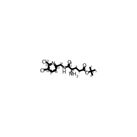 CC(C)(C)OC(=O)CC[C@@H](N)C(=O)NCc1ccc(Cl)c(Cl)n1